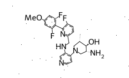 COc1cc(F)c(-c2nc(CNc3cnccc3N3C[C@@H](N)[C@H](O)[C@@H](C)C3)ccc2F)c(F)c1